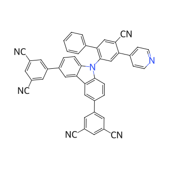 N#Cc1cc(C#N)cc(-c2ccc3c(c2)c2cc(-c4cc(C#N)cc(C#N)c4)ccc2n3-c2cc(-c3ccncc3)c(C#N)cc2-c2ccccc2)c1